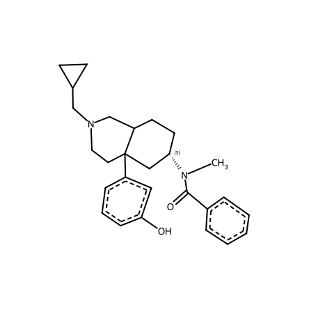 CN(C(=O)c1ccccc1)[C@H]1CCC2CN(CC3CC3)CCC2(c2cccc(O)c2)C1